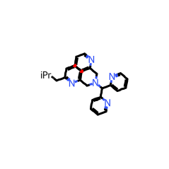 CC(C)Cc1cccc(CN(Cc2ccccn2)C(c2ccccn2)c2ccccn2)n1